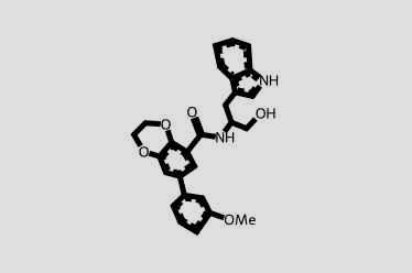 COc1cccc(-c2cc3c(c(C(=O)NC(CO)Cc4c[nH]c5ccccc45)c2)OCCO3)c1